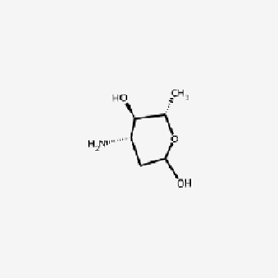 C[C@@H]1OC(O)C[C@H](N)[C@H]1O